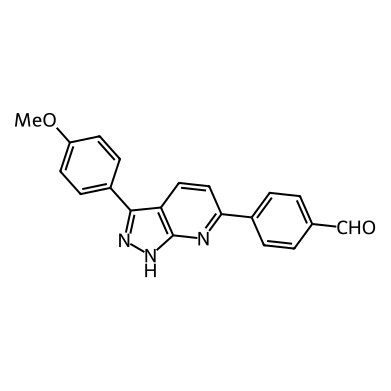 COc1ccc(-c2n[nH]c3nc(-c4ccc(C=O)cc4)ccc23)cc1